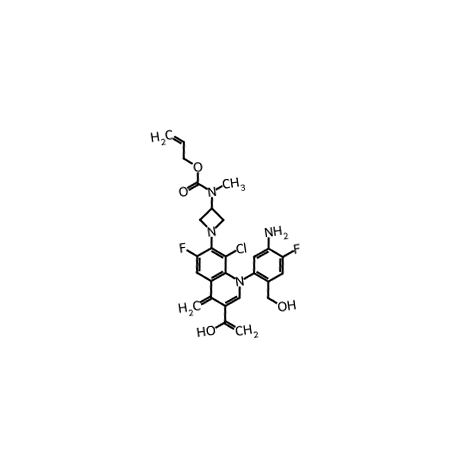 C=CCOC(=O)N(C)C1CN(c2c(F)cc3c(c2Cl)N(c2cc(N)c(F)cc2CO)C=C(C(=C)O)C3=C)C1